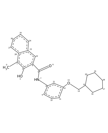 Cc1c(O)c(C(=O)Nc2cccc(OCC3CCCCC3)c2)cc2ccccc12